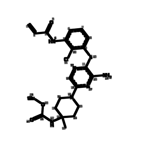 C=CC(=O)Nc1cccc(Sc2ncc(N3CCC(C)(NC(=O)OC(C)(C)C)CC3)nc2N)c1Cl